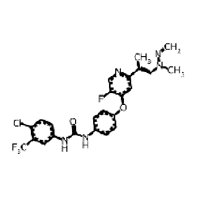 C=NN(C)/C=C(\C)c1cc(Oc2ccc(NC(=O)Nc3ccc(Cl)c(C(F)(F)F)c3)cc2)c(F)cn1